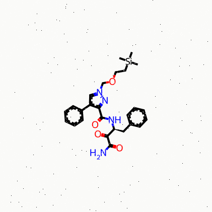 C[Si](C)(C)CCOCn1cc(-c2ccccc2)c(C(=O)N[C@@H](Cc2ccccc2)C(=O)C(N)=O)n1